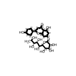 C[C@@H](O)[C@@H](O)[C@H](O)[C@@H](O)[C@H]1OC(Oc2cc(O)c3c(=O)cc(-c4ccc(O)cc4)oc3c2)[C@H](O)[C@@H](O)[C@@H]1O